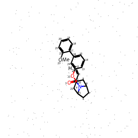 C=CC(=O)N1C2CCC1CC(Oc1cccc(-c3ccccc3OC)c1)C2